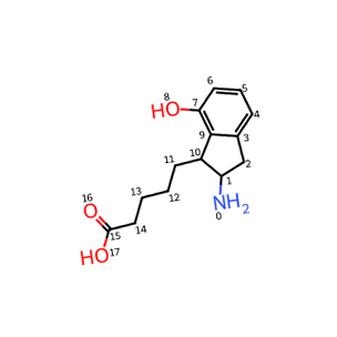 NC1Cc2cccc(O)c2C1CCCCC(=O)O